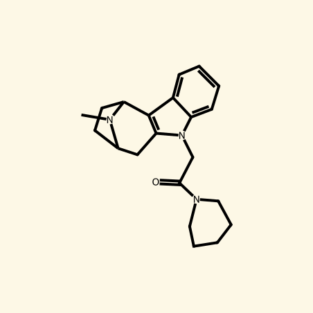 CN1C2CCC1c1c(n(CC(=O)N3CCCCC3)c3ccccc13)C2